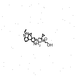 C=Cc1ncc2c(-c3cc(N)c(N4CCN(C(=O)CCO)[C@H](C5CC5)C4)cc3C3CC3)cccc2n1